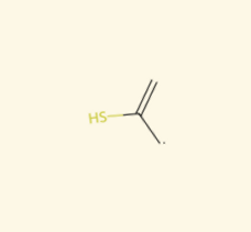 [CH2]C(=C)S